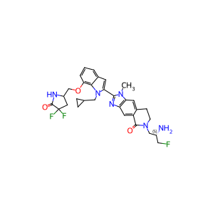 Cn1c(-c2cc3cccc(OCC4CC(F)(F)C(=O)N4)c3n2CC2CC2)nc2cc3c(cc21)CCN(C[C@H](N)CF)C3=O